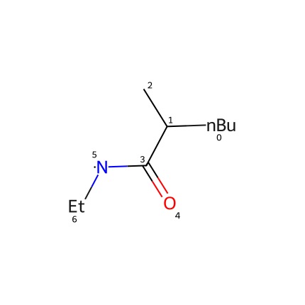 CCCCC(C)C(=O)[N]CC